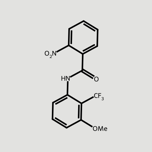 COc1cccc(NC(=O)c2ccccc2[N+](=O)[O-])c1C(F)(F)F